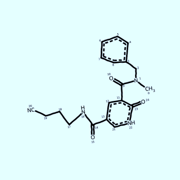 CN(Cc1ccccc1)C(=O)c1cc(C(=O)NCCCC#N)c[nH]c1=O